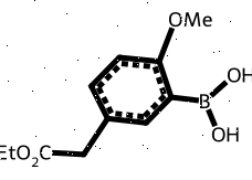 CCOC(=O)Cc1ccc(OC)c(B(O)O)c1